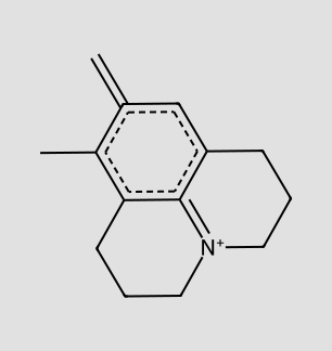 C=c1cc2c3c(c1C)CCC[N+]=3CCC2